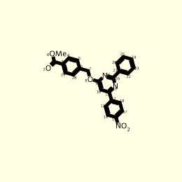 COC(=O)c1ccc(COc2cc(-c3ccc([N+](=O)[O-])cc3)nc(-c3ccccc3)n2)cc1